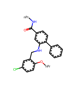 CCCNC(=O)c1ccc(-c2ccccc2)c(NCc2cc(Cl)ccc2OCCC)c1